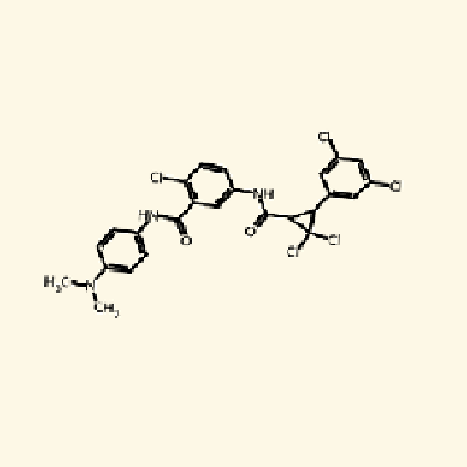 CN(C)c1ccc(NC(=O)c2cc(NC(=O)C3C(c4cc(Cl)cc(Cl)c4)C3(Cl)Cl)ccc2Cl)cc1